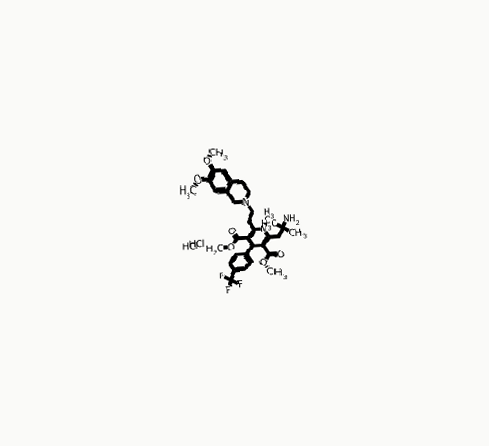 COC(=O)C1=C(CCN2CCc3cc(OC)c(OC)cc3C2)N(C)C(CC(C)(C)N)=C(C(=O)OC)C1c1ccc(C(F)(F)F)cc1.Cl.Cl